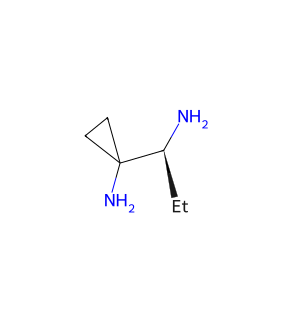 CC[C@H](N)C1(N)CC1